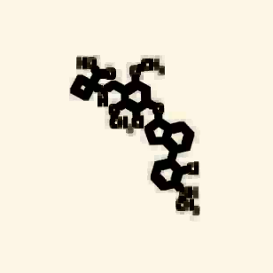 CNc1cccc(-c2cccc3c2CCC3Oc2cc(OC)c(CNC3(C(=O)O)CCC3)c(OC)c2Cl)c1Cl